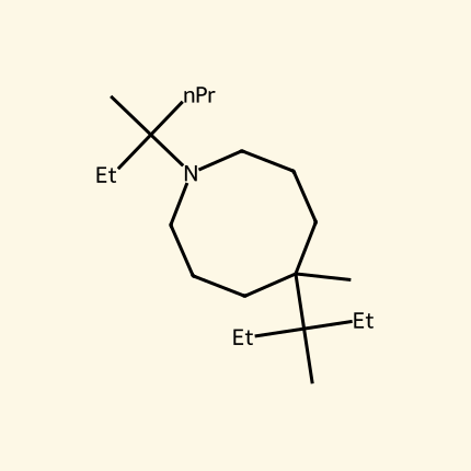 CCCC(C)(CC)N1CCCC(C)(C(C)(CC)CC)CCC1